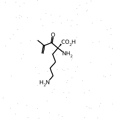 C=C(C)C(=O)[C@](N)(CCCCN)C(=O)O